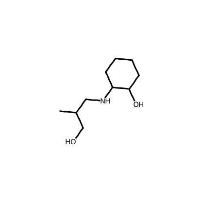 CC(CO)CNC1CCCCC1O